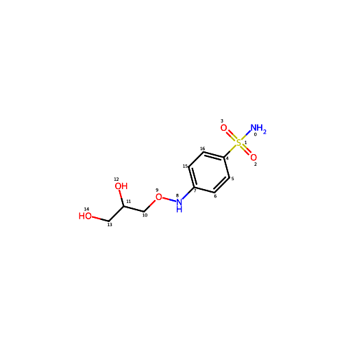 NS(=O)(=O)c1ccc(NOCC(O)CO)cc1